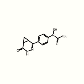 CC(C)(C)C(=O)N(S)c1ccc(C2=NNC(=O)C3CC23)cc1